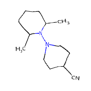 CC1CCCC(C)N1N1CCC(C#N)CC1